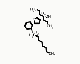 C=CCCCCCC.CCCCCCC.CO.Cc1ccccc1.c1ccsc1